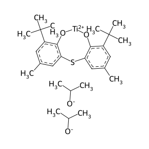 CC(C)[O-].CC(C)[O-].Cc1cc2c(c(C(C)(C)C)c1)[O][Ti+2][O]c1c(cc(C)cc1C(C)(C)C)S2